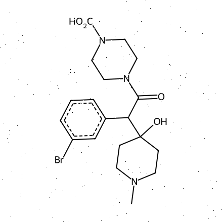 CN1CCC(O)(C(C(=O)N2CCN(C(=O)O)CC2)c2cccc(Br)c2)CC1